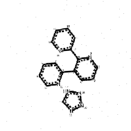 c1ccc(-c2cccnc2-c2ccccn2)nc1.c1nnn[nH]1